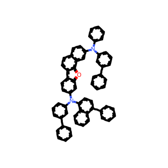 c1ccc(-c2cccc(N(c3ccccc3)c3ccc4ccc5c6ccc(N(c7cccc(-c8ccccc8)c7)c7ccc(-c8ccccc8)c8ccccc78)cc6oc5c4c3)c2)cc1